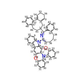 C1=C2CC(/C3=N/C(n4c5ccccc5c5cc6c7c(c54)Oc4ccccc4N7c4ccccc4O6)=C\CCCc4ccccc43)CCc3ccccc3C2=CCC1